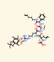 C=CCCCNC(=O)[C@H](NC(=O)[C@H](CC)NC(=O)[C@H](CCCNC(=N)NS(=O)(=O)c1c(C)c(C)c2c(c1C)CC(C)(C)O2)NC(=O)[C@@](C)(CC=C)NC(=O)O)c1ccccc1